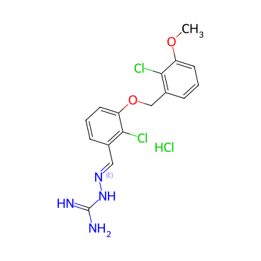 COc1cccc(COc2cccc(/C=N/NC(=N)N)c2Cl)c1Cl.Cl